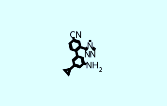 Cn1cnnc1-c1cc(C#N)ccc1-c1cc(N)cc(C2CC2)c1